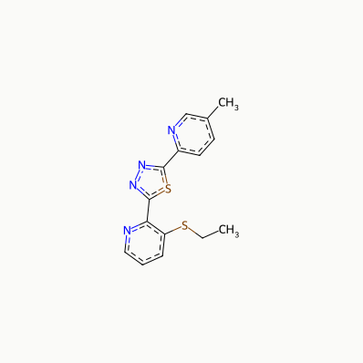 CCSc1cccnc1-c1nnc(-c2ccc(C)cn2)s1